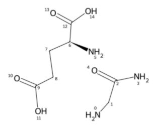 NCC(N)=O.N[C@@H](CCC(=O)O)C(=O)O